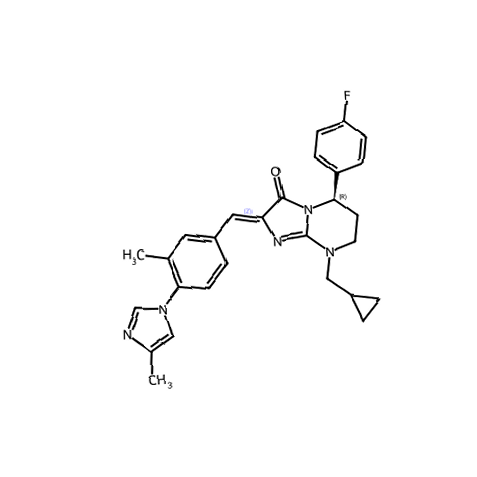 Cc1cn(-c2ccc(/C=C3\N=C4N(CC5CC5)CC[C@H](c5ccc(F)cc5)N4C3=O)cc2C)cn1